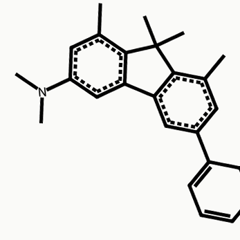 Cc1cc(C2=CC=CCC2)cc2c1C(C)(C)c1c(C)cc(N(C)C)cc1-2